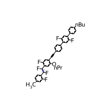 CCCCc1ccc(-c2cc(F)c(-c3ccc(C#Cc4cc(F)c(/C(F)=C(\F)c5ccc(C)cc5F)cc4OCCC)cc3)cc2F)cc1